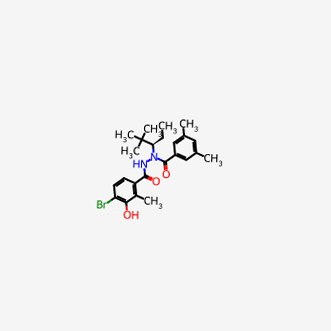 CC[C@@H](N(NC(=O)c1ccc(Br)c(O)c1C)C(=O)c1cc(C)cc(C)c1)C(C)(C)C